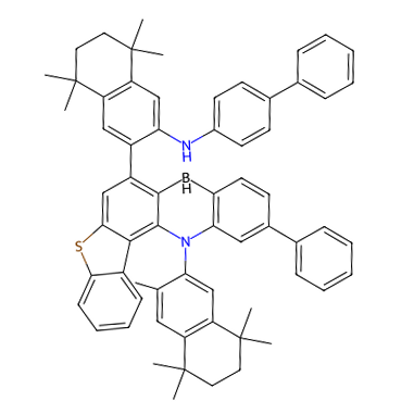 Cc1cc2c(cc1N1c3cc(-c4ccccc4)ccc3Bc3c(-c4cc5c(cc4Nc4ccc(-c6ccccc6)cc4)C(C)(C)CCC5(C)C)cc4sc5ccccc5c4c31)C(C)(C)CCC2(C)C